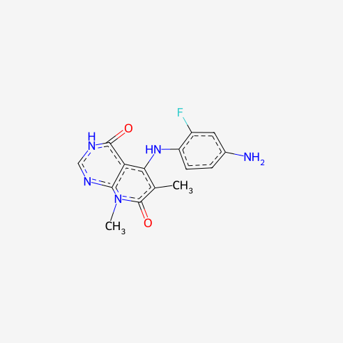 Cc1c(Nc2ccc(N)cc2F)c2c(=O)[nH]cnc2n(C)c1=O